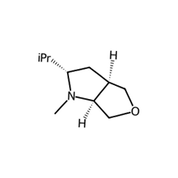 CC(C)[C@@H]1C[C@H]2COC[C@H]2N1C